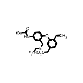 C=Cc1ccc(CC(=O)O)cc1Oc1ccc(NC(=O)C(C)(C)C)cc1CSCC(F)(F)F